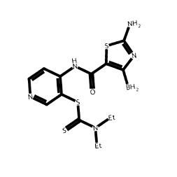 Bc1nc(N)sc1C(=O)Nc1ccncc1SC(=S)N(CC)CC